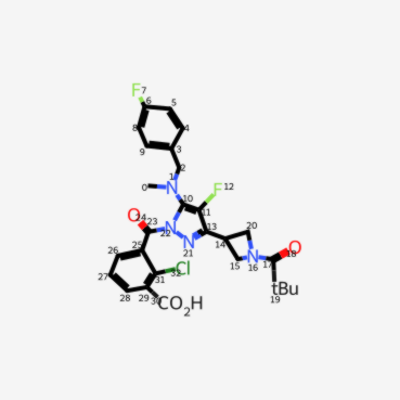 CN(Cc1ccc(F)cc1)c1c(F)c(C2CN(C(=O)C(C)(C)C)C2)nn1C(=O)c1cccc(C(=O)O)c1Cl